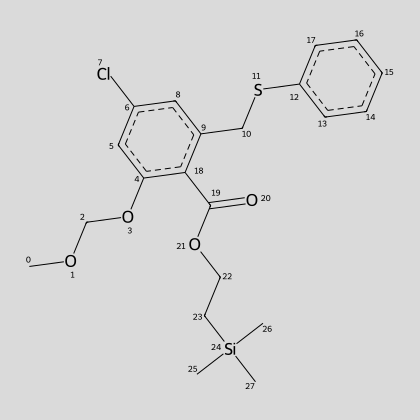 COCOc1cc(Cl)cc(CSc2ccccc2)c1C(=O)OCC[Si](C)(C)C